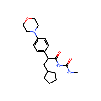 CNC(=O)NC(=O)C(CC1CCCC1)c1ccc(N2CCOCC2)cc1